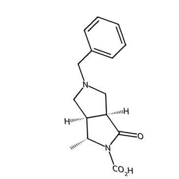 C[C@@H]1[C@H]2CN(Cc3ccccc3)C[C@H]2C(=O)N1C(=O)O